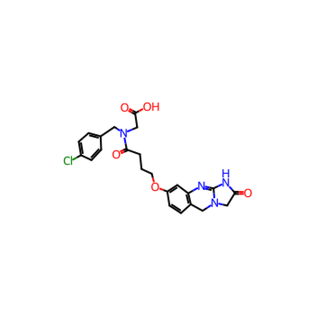 O=C(O)CN(Cc1ccc(Cl)cc1)C(=O)CCCOc1ccc2c(c1)N=C1NC(=O)CN1C2